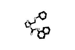 O=C(Nc1cccc2ccccc12)N1CCN=C1COc1ccccc1